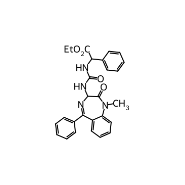 CCOC(=O)C(NC(=O)NC1N=C(c2ccccc2)c2ccccc2N(C)C1=O)c1ccccc1